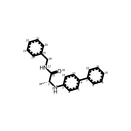 C[C@@H](Nc1ccc(-c2ccccc2)cc1)C(=O)NCc1ccccc1